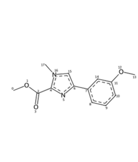 COC(=O)c1nc(-c2cccc(OC)c2)cn1C